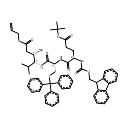 C=CCOC(=O)C[C@H](O)[C@H](NC(=O)[C@@H](CSC(c1ccccc1)(c1ccccc1)c1ccccc1)NC(=O)[C@@H](CCC(=O)OC(C)(C)C)NC(=O)OCC1c2ccccc2-c2ccccc21)C(C)C